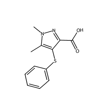 Cc1c(Sc2ccccc2)c(C(=O)O)nn1C